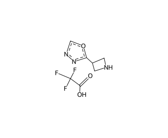 O=C(O)C(F)(F)F.c1nnc(C2CNC2)o1